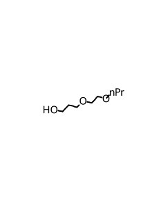 CCCOCCOCCCO